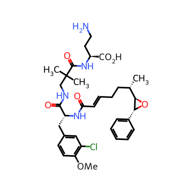 COc1ccc(C[C@@H](NC(=O)/C=C/CC[C@H](C)[C@H]2O[C@@H]2c2ccccc2)C(=O)NCC(C)(C)C(=O)N[C@@H](CCN)C(=O)O)cc1Cl